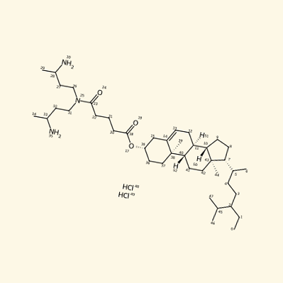 CCC(CCC(C)[C@H]1CC[C@H]2[C@@H]3CC=C4C[C@@H](OC(=O)CCCC(=O)N(CCC(C)N)CCC(C)N)CC[C@]4(C)[C@H]3CC[C@]12C)C(C)C.Cl.Cl